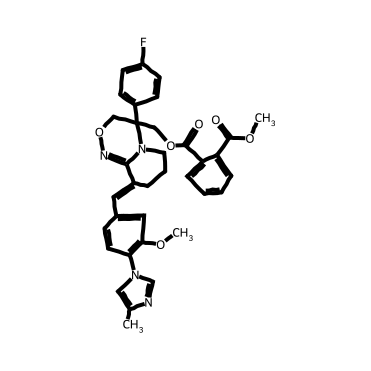 COC(=O)c1ccccc1C(=O)OCC1(c2ccc(F)cc2)CON=C2/C(=C/c3ccc(-n4cnc(C)c4)c(OC)c3)CCCN21